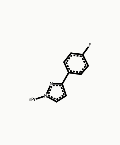 C[CH]Cn1ccc(-c2ccc(F)cc2)n1